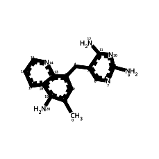 Cc1cc(Cc2cnc(N)nc2N)c2ncccc2c1N